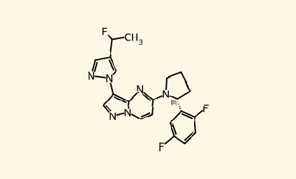 CC(F)c1cnn(-c2cnn3ccc(N4CCC[C@@H]4c4cc(F)ccc4F)nc23)c1